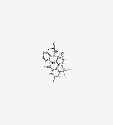 O=C1Cc2cccc(NC(=O)c3cc(F)cc(C(F)(F)F)c3)c2C(c2ccccc2Cl)N1